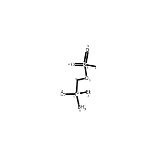 [BH3-][P+](CC)(CC)COS(C)(=O)=O